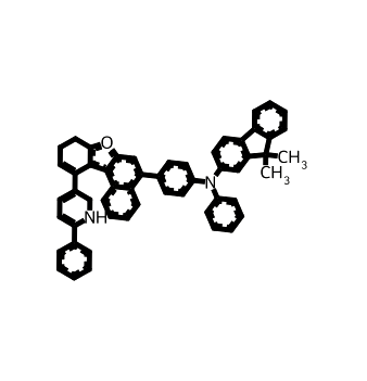 CC1(C)c2ccccc2-c2ccc(N(c3ccccc3)c3ccc(-c4cc5oc6c(c5c5ccccc45)C(C4=CC=C(c5ccccc5)NC4)=CCC6)cc3)cc21